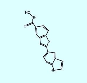 O=C(NO)c1ccc2sc(-c3ccc4[nH]ccc4c3)cc2c1